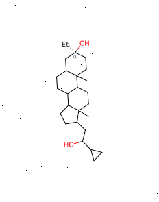 CC[C@]1(O)CCC2(C)C(CCC3C4CCC(CC(O)C5CC5)C4(C)CCC32)C1